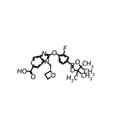 CC1(C)OB(c2ccc(Oc3nc4ccc(C(=O)O)cc4n3C[C@@H]3CCO3)c(F)c2)OC1(C)C